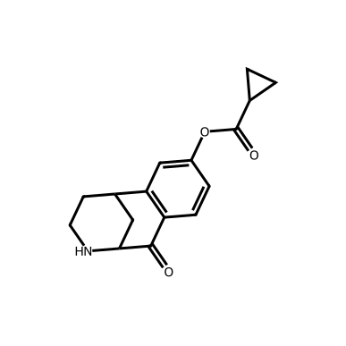 O=C(Oc1ccc2c(c1)C1CCNC(C1)C2=O)C1CC1